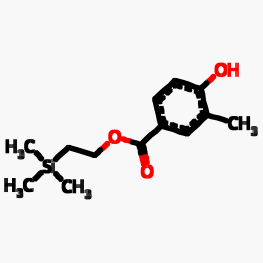 Cc1cc(C(=O)OCC[Si](C)(C)C)ccc1O